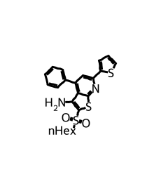 CCCCCCS(=O)(=O)c1sc2nc(-c3cccs3)cc(-c3ccccc3)c2c1N